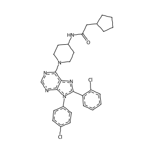 O=C(CC1CCCC1)NC1CCN(c2ncnc3c2nc(-c2ccccc2Cl)n3-c2ccc(Cl)cc2)CC1